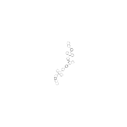 C1=CC2=C(C3C=c4c5c(oc4=CC3)C(c3ccc(C4C=CC(C6C7CCCC=C7C(C7C=C8C9=C(C=C%10CCCCC%10C9)OC8CC7)=C7C=CCCC76)=CC4)cc3)=CC3CCC=CC53)C3=CCCC=C3C(c3cccc(C4C=C5C=CCCC5=CC4)c3)C2C=C1